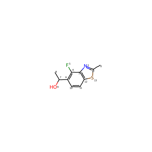 Cc1nc2c(F)c(C(C)O)ccc2s1